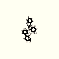 c1ccc2c(c1)nc1n(-c3cccc4c3oc3ncccc34)c3ccccc3n21